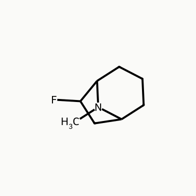 CN1C2CCCC1C(F)C2